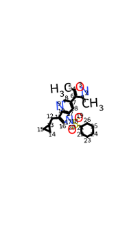 Cc1noc(C)c1-c1cnc2c(CC3CC3)cn(S(=O)(=O)C3CCCCC3)c2c1